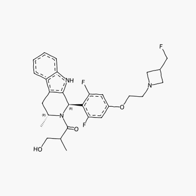 CC(CO)C(=O)N1[C@H](c2c(F)cc(OCCN3CC(CF)C3)cc2F)c2[nH]c3ccccc3c2C[C@H]1C